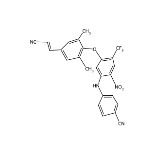 Cc1cc(/C=C/C#N)cc(C)c1Oc1cc(Nc2ccc(C#N)cc2)c([N+](=O)[O-])cc1C(F)(F)F